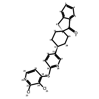 O=C1c2ccccc2C[C@]12CC[C@H](c1ccc(Sc3ccnc(Cl)c3Cl)nc1)CC2